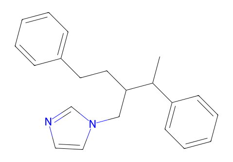 CC(c1ccccc1)C(CCc1ccccc1)Cn1ccnc1